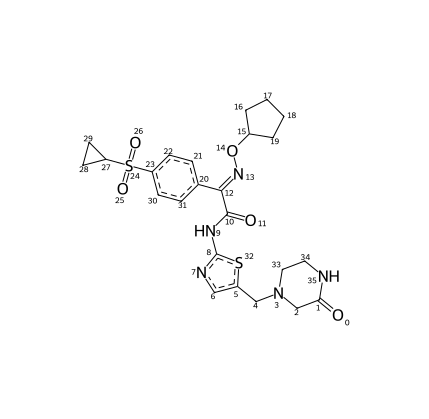 O=C1CN(Cc2cnc(NC(=O)/C(=N/OC3CCCC3)c3ccc(S(=O)(=O)C4CC4)cc3)s2)CCN1